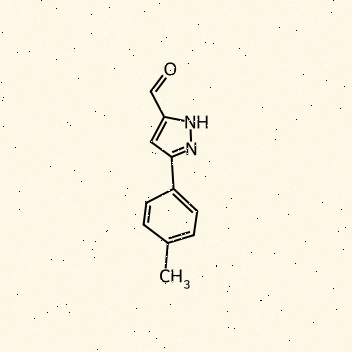 Cc1ccc(-c2cc(C=O)[nH]n2)cc1